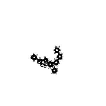 O=c1oc2oc(-c3ccccc3)cc2c2ccc(-c3ccc4c(c3)c3cc(-c5cccc(-c6ccccc6)c5)ccc3n4-c3ccccc3)n12